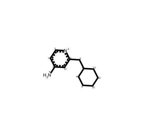 Nc1ccnc(CC2CCCCC2)c1